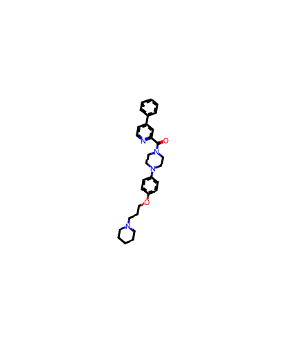 O=C(c1cc(-c2ccccc2)ccn1)N1CCN(c2ccc(OCCCN3CCCCC3)cc2)CC1